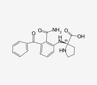 NC(=O)c1c(N[C@@]2(C(=O)O)CCCN2)cccc1C(=O)c1ccccc1